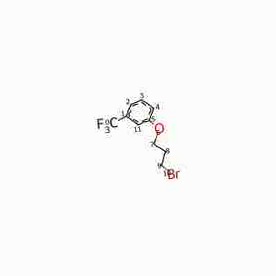 FC(F)(F)c1cccc(OCCCBr)c1